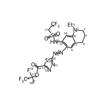 CCN1CCCc2cc(N=Nc3nnc(C(=O)OC(F)(F)C(F)(F)F)s3)c(NS(=O)(=O)CC(F)(F)F)cc21